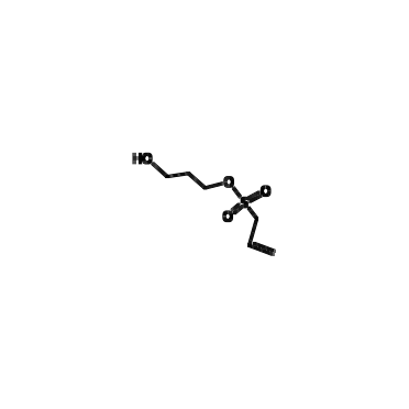 C=CCS(=O)(=O)OCCCO